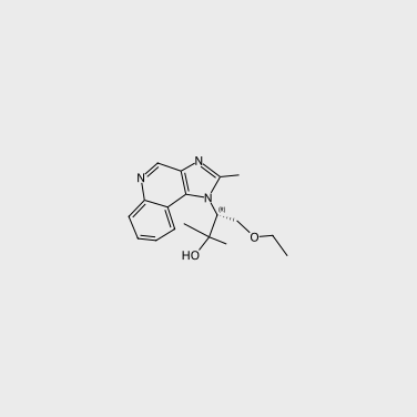 CCOC[C@@H](n1c(C)nc2cnc3ccccc3c21)C(C)(C)O